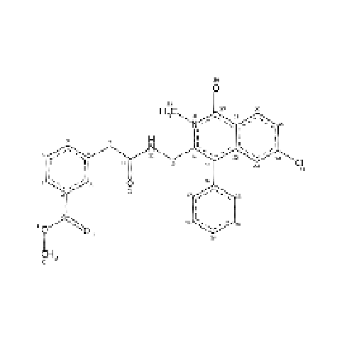 COC(=O)c1cccc(CC(=O)NCc2c(-c3ccccc3)c3cc(Cl)ccc3c(=O)n2C)c1